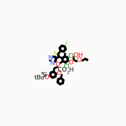 C=CCOCC(CO)Oc1c(Cl)c(C)c(-c2c(-c3ccc(F)cc3)sc3ncnc(OC(Cc4cc(O[Si](C)(C)C(C)(C)C)ccc4OCc4ccccc4)C(=O)O)c23)c(C)c1Cl